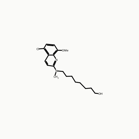 COc1ccc(Cl)c2ccc(N(C)CCCCCCCCO)nc12